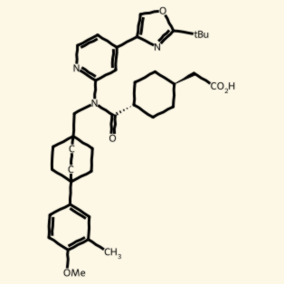 COc1ccc(C23CCC(CN(c4cc(-c5coc(C(C)(C)C)n5)ccn4)C(=O)[C@H]4CC[C@H](CC(=O)O)CC4)(CC2)CC3)cc1C